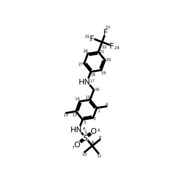 Cc1cc(NS(=O)(=O)C(C)(C)C)c(C)cc1CNc1ccc(C(F)(F)F)cc1